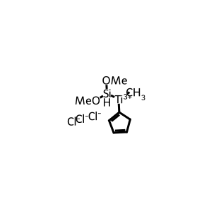 CO[SiH](OC)[Ti+3]([CH3])[C]1=CC=CC1.[Cl-].[Cl-].[Cl-]